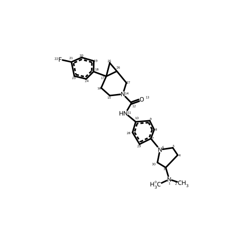 CN(C)C1CCN(c2ccc(NC(=O)N3CCC4(c5ccc(F)cc5)CC4C3)cc2)C1